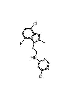 Cc1cc2c(Cl)ccc(F)c2n1CCNc1cc(Cl)ncn1